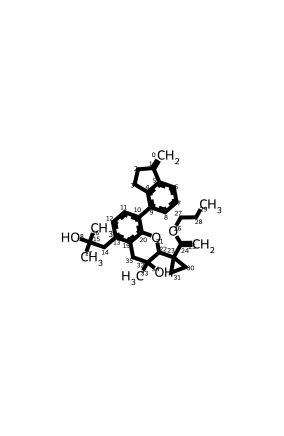 C=C1CCc2c1cccc2-c1ccc(CC(C)(C)O)c2c1OC(C1(C(=C)OCCC)CC1)C(C)(O)C2